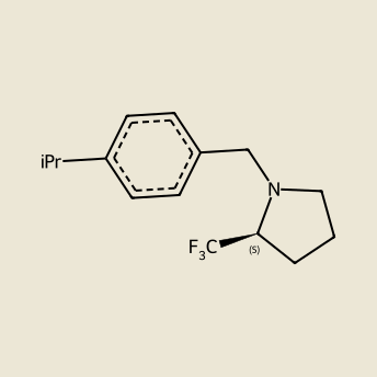 CC(C)c1ccc(CN2CCC[C@H]2C(F)(F)F)cc1